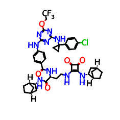 O=C(N[C@@H](CCNc1c(N[C@@H]2C[C@H]3CC[C@@H]2C3)c(=O)c1=O)C(=O)N[C@@H]1C[C@H]2CC[C@@H]1C2)c1ccc(Nc2nc(NC3(c4ccc(Cl)cc4)CC3)nc(OCC(F)(F)F)n2)cc1